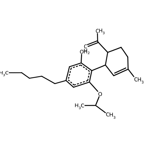 C=C(C)C1CCC(C)=CC1c1c(O)cc(CCCCC)cc1OC(C)C